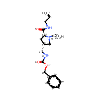 C=CCNC(=O)[C@@H]1C[C@@H](CNC(=O)OCc2ccccc2)CN1C(=O)O